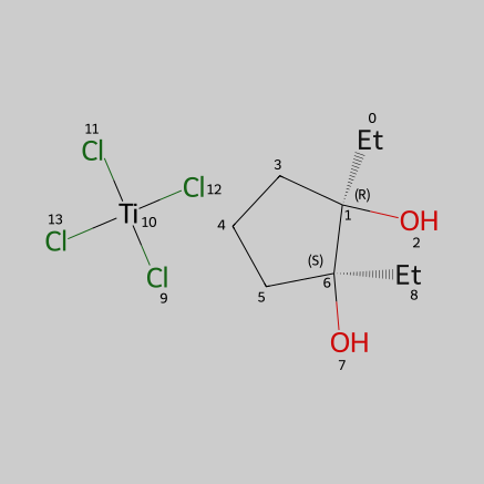 CC[C@@]1(O)CCC[C@@]1(O)CC.[Cl][Ti]([Cl])([Cl])[Cl]